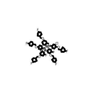 Cc1cc(OCc2ccc(F)cc2)ccc1N(N(Nc1ccc(OCc2ccc(F)cc2)c(Cl)c1)c1ccc(OCc2ccc(F)cc2)c(F)c1)N(Nc1ccc(OCc2ccc(F)cc2)cc1F)c1ccc(OCc2ccc(F)cc2)cc1C(F)(F)F